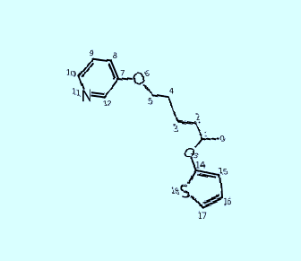 CC([CH]CCCOc1cccnc1)Oc1cccs1